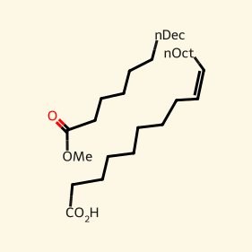 CCCCCCCC/C=C\CCCCCCCC(=O)O.CCCCCCCCCCCCCCCC(=O)OC